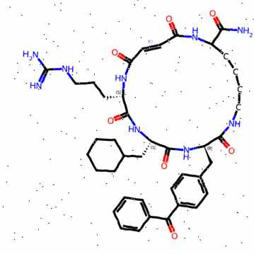 N=C(N)NCCC[C@@H]1NC(=O)/C=C/C(=O)NC(C(N)=O)CCCCNC(=O)[C@@H](Cc2ccc(C(=O)c3ccccc3)cc2)NC(=O)[C@H](CC2CCCCC2)NC1=O